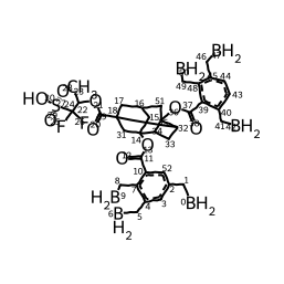 BCc1cc(CB)c(CB)c(C(=O)OC23CC4CC(C(=O)OC(C)C(F)(F)S(=O)(=O)O)(C2)C2CC3C2(OC(=O)c2c(CB)ccc(CB)c2CB)C4)c1